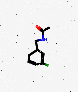 CC(=O)NCC1C=C(F)C=CC1